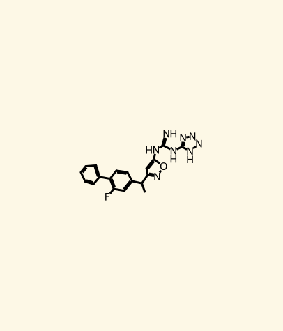 CC(c1ccc(-c2ccccc2)c(F)c1)c1cc(NC(=N)Nc2nnn[nH]2)on1